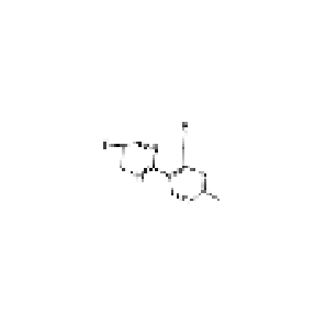 B#Cc1nc(C)ccc1-c1ncc(F)cn1